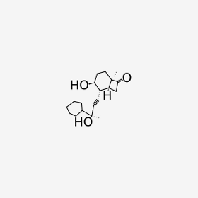 C[C@@]12CC[C@H](O)[C@@H](C#C[C@@](C)(O)C3CCCCC3)[C@@H]1CC2=O